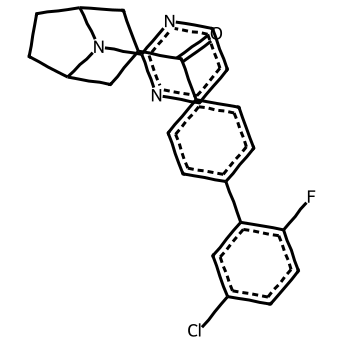 O=C(c1ccc(-c2cc(Cl)ccc2F)cc1)C1CC2CCC(C1)N2c1ncccn1